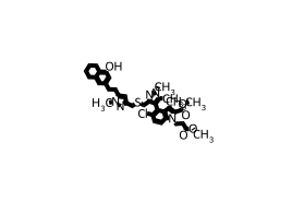 COC(=O)CCn1c(C(=O)OC)c(C)c2c(-c3c(CSCc4cc(CCc5cc(O)c6c(c5)CCCC6)n(C)n4)nn(C)c3C)c(Cl)ccc21